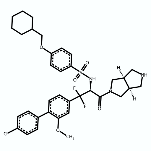 COc1cc(C(F)(F)[C@@H](NS(=O)(=O)c2ccc(OCC3CCCCC3)cc2)C(=O)N2C[C@H]3CNC[C@H]3C2)ccc1-c1ccc(Cl)cc1